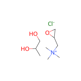 CC(O)CO.C[N+](C)(C)CC1CO1.[Cl-]